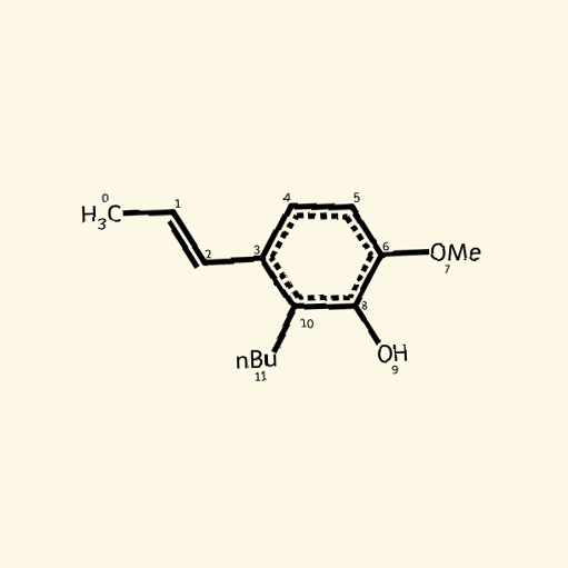 CC=Cc1ccc(OC)c(O)c1CCCC